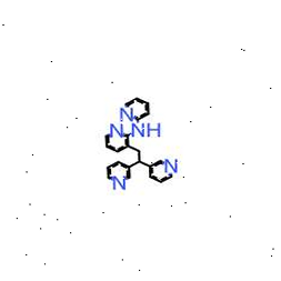 c1ccc(Nc2ncccc2CC(c2cccnc2)c2cccnc2)nc1